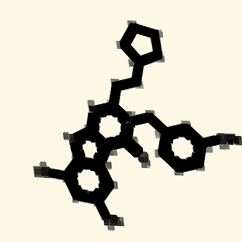 CCCCc1cc(O)c2sc3nc(CCC4CCCC4)n(Cc4cccc(OC)c4)c(=O)c3c2c1